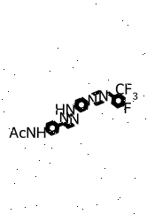 CC(=O)Nc1ccc(-c2ccnc(Nc3ccc(N4CCN(Cc5ccc(F)cc5C(F)(F)F)CC4)cc3)n2)cc1